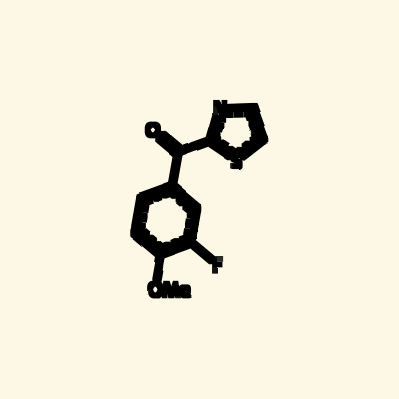 COc1ccc(C(=O)c2nccs2)cc1F